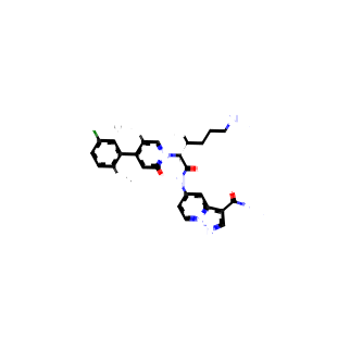 COc1cn([C@H](C(=O)Nc2ccn3ncc(C(N)=O)c3c2)C(C)CCCN)c(=O)cc1-c1cc(Cl)ccc1C#N